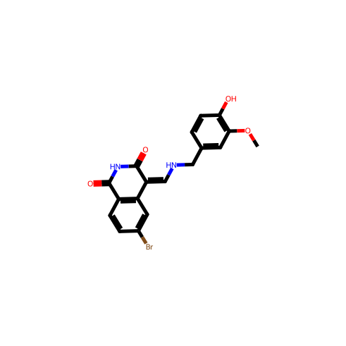 COc1cc(CN/C=C2\C(=O)NC(=O)c3ccc(Br)cc32)ccc1O